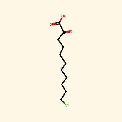 O=C(O)C(=O)CCCCCCCCCCl